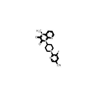 Cn1c(=O)c(=O)n(C2CCN(c3ncc(C#N)cc3F)CC2)c2ncccc21